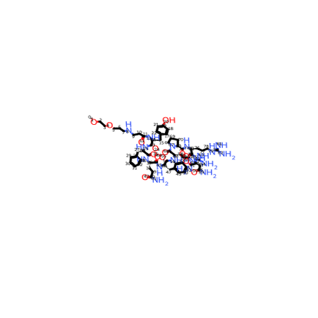 COCCOCCCNCCC(=O)N[C@@H](Cc1ccc(O)cc1)C(=O)N[C@@H](Cc1ccccc1)C(=O)N[C@@H](CCC(N)=O)C(=O)N[C@@H](Cc1ccccc1)C(=O)N[C@@H](CCCNC(=N)N)C(=O)N1CCC[C@H]1C(=O)N[C@@H](CCCNC(=N)N)C(=O)N[C@@H](CC(N)=O)C(N)=O